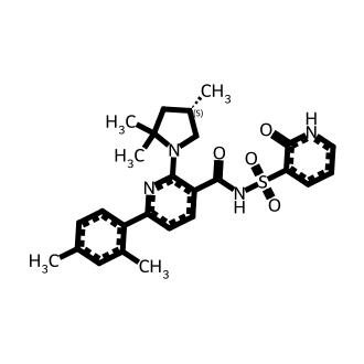 Cc1ccc(-c2ccc(C(=O)NS(=O)(=O)c3ccc[nH]c3=O)c(N3C[C@@H](C)CC3(C)C)n2)c(C)c1